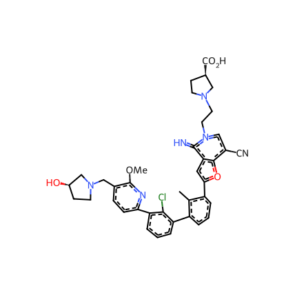 COc1nc(-c2cccc(-c3cccc(-c4cc5c(=N)n(CCN6CC[C@@H](C(=O)O)C6)cc(C#N)c5o4)c3C)c2Cl)ccc1CN1CC[C@@H](O)C1